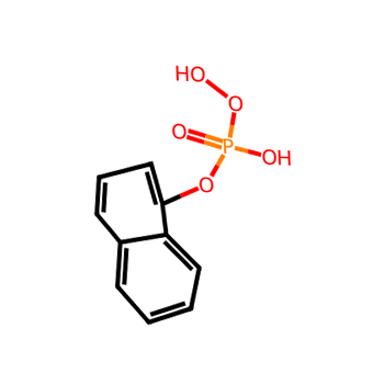 O=P(O)(OO)Oc1cccc2ccccc12